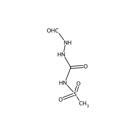 CS(=O)(=O)NC(=O)NNC=O